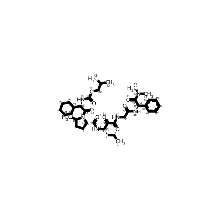 CCC[C@H](NC(=O)[C@@H]1CCC(C)N1C(=O)[C@@H](NC(=O)OCC(C)C)C1CCCCC1)C(=O)C(=O)NCC(=O)N[C@H](C(=O)N(C)C)c1ccccc1